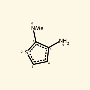 CNc1sccc1N